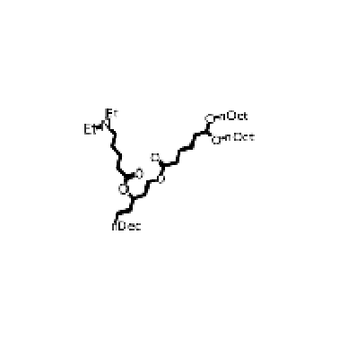 CCCCCCCCCCCCC(CCOC(=O)CCCCC(OCCCCCCCC)OCCCCCCCC)OC(=O)CCCCN(CC)CC